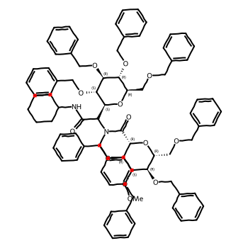 COc1ccc(CN(C(=O)[C@@H]2O[C@H](COCc3ccccc3)[C@@H](OCc3ccccc3)[C@H](OCc3ccccc3)[C@H]2OCc2ccccc2)C(C(=O)NC2CCCCC2)[C@@H]2O[C@H](COCc3ccccc3)[C@@H](OCc3ccccc3)[C@H](OCc3ccccc3)[C@H]2OCc2ccccc2)cc1